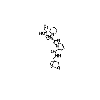 CC(C)(O)C1CCCCN1C(=O)c1cn2c(C(=O)NCC34CC5CC5C5(CC5C3)C4)cccc2n1